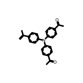 C=C(C)c1ccc(N(c2ccc(C(C)=O)cc2)c2ccc(C(C)=O)cc2)cc1